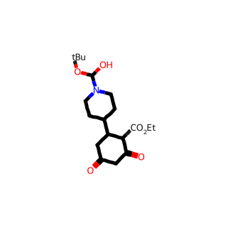 CCOC(=O)C1C(=O)CC(=O)CC1C1CCN(C(O)OC(C)(C)C)CC1